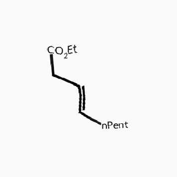 CCCCC/C=C/CC(=O)OCC